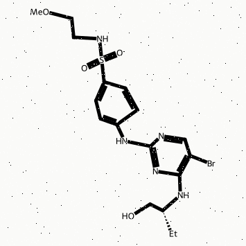 CC[C@H](CO)Nc1nc(Nc2ccc(S(=O)(=O)NCCOC)cc2)ncc1Br